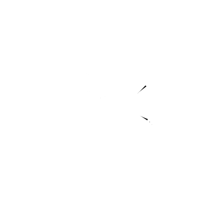 C[C@H](COC(=O)c1ccccc1)[C@H](C)C(F)(F)F